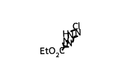 CCOC(=O)C1=CN(Cc2cnc(Cl)cn2)NC1